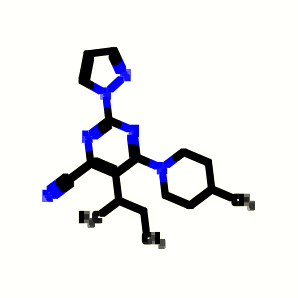 CCC(C)c1c(C#N)nc(-n2cccn2)nc1N1CCC(C)CC1